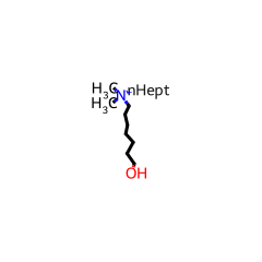 CCCCCCC[N+](C)(C)CCCCCCCO